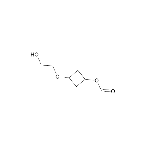 O=COC1CC(OCCO)C1